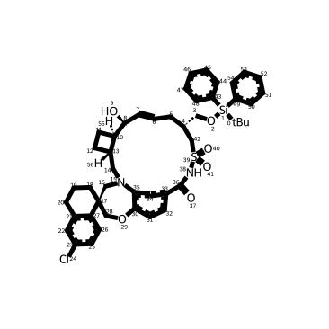 CC(C)(C)[Si](OC[C@H]1C/C=C/[C@H](O)[C@@H]2CC[C@H]2CN2C[C@@]3(CCCc4cc(Cl)ccc43)COc3ccc(cc32)C(=O)NS(=O)(=O)C1)(c1ccccc1)c1ccccc1